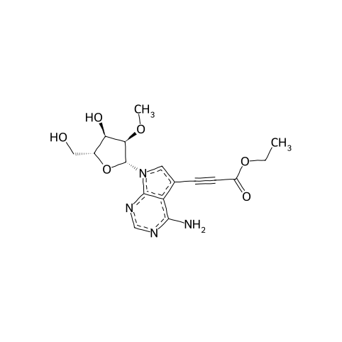 CCOC(=O)C#Cc1cn([C@@H]2O[C@H](CO)[C@@H](O)[C@H]2OC)c2ncnc(N)c12